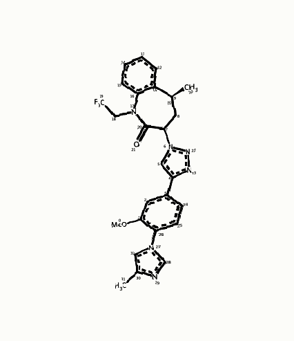 COc1cc(-c2cn(C3C[C@H](C)c4ccccc4N(CC(F)(F)F)C3=O)nn2)ccc1-n1cnc(C)c1